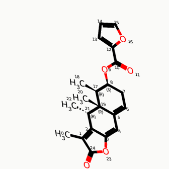 CC1=C2C(=CC3=CC[C@H](OC(=O)c4ccco4)[C@H](C)[C@@]3(C)[C@H]2C)OC1=O